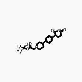 CC(C)(C)OC(=O)CN1CCC(c2ccc(C3CCC(=O)NC3=O)cc2)CC1